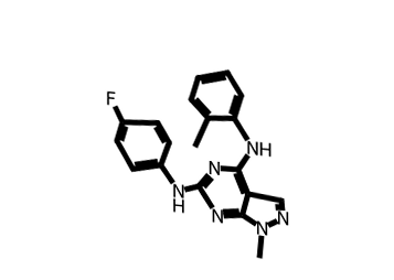 Cc1ccccc1Nc1nc(Nc2ccc(F)cc2)nc2c1cnn2C